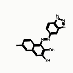 Cc1ccc2c(/N=N/c3ccc4[nH]nnc4c3)c(O)c(S)cc2c1